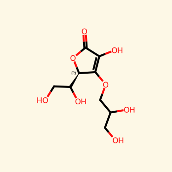 O=C1O[C@H](C(O)CO)C(OCC(O)CO)=C1O